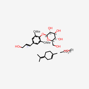 CC(=O)O.CC1=CCC(=C(C)C)CC1.CCO.COc1cc(/C=C/CO)cc(OC)c1O[C@@H]1O[C@H](CO)[C@@H](O)[C@H](O)[C@H]1O